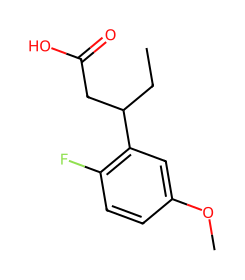 CCC(CC(=O)O)c1cc(OC)ccc1F